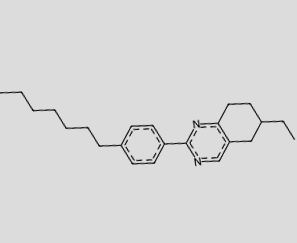 CCCCCCCc1ccc(-c2ncc3c(n2)CCC(CC)C3)cc1